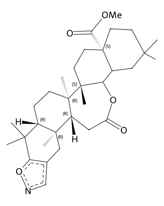 COC(=O)[C@]12CCC(C)(C)CC1C1OC(=O)C[C@@H]3[C@@]4(C)Cc5cnoc5C(C)(C)[C@@H]4CC[C@@]3(C)[C@]1(C)CC2